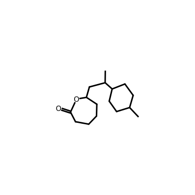 CC1CCC(C(C)CC2CCCCC(=O)O2)CC1